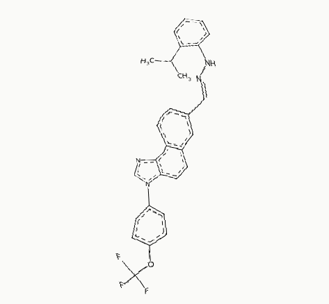 CC(C)c1ccccc1N/N=C/c1ccc2c(ccc3c2ncn3-c2ccc(OC(F)(F)F)cc2)c1